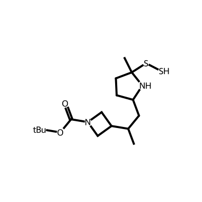 CC(CC1CCC(C)(SS)N1)C1CN(C(=O)OC(C)(C)C)C1